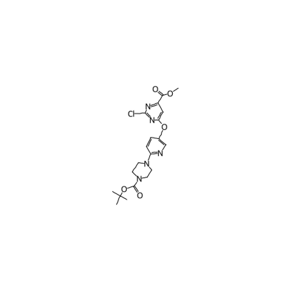 COC(=O)c1cc(Oc2ccc(N3CCN(C(=O)OC(C)(C)C)CC3)nc2)nc(Cl)n1